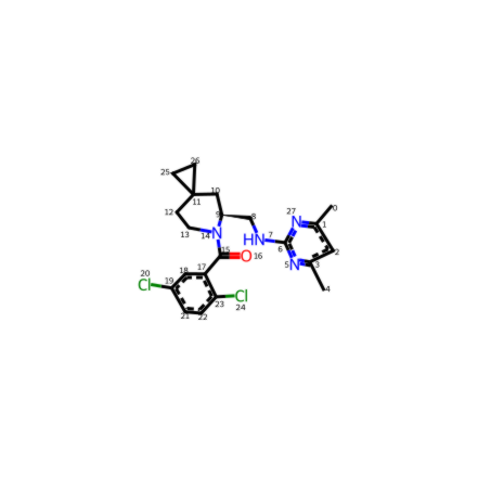 Cc1cc(C)nc(NC[C@@H]2CC3(CCN2C(=O)c2cc(Cl)ccc2Cl)CC3)n1